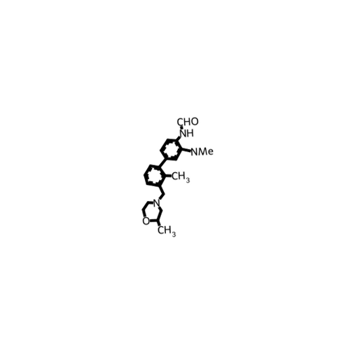 CNc1cc(-c2cccc(CN3CCOC(C)C3)c2C)ccc1NC=O